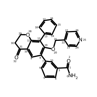 NC(=O)c1cccc(-c2cc3c(c(-c4ccccc4)c2OCc2ccncc2)OCCC3=O)c1